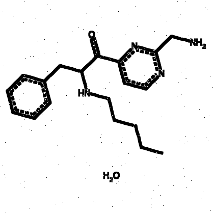 CCCCCNC(Cc1ccccc1)C(=O)c1ccnc(CN)n1.O